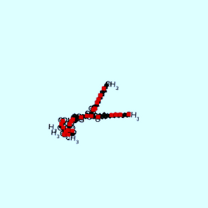 CCCCCCCCCCCCCCCC(=O)OCC(COC(=O)CCCCCCCCCCCCCCC)OC(=O)CCC(=O)Oc1ccc(COC(=O)COc2c(C/C=C(\C)CCC(=O)O)c(OC)c(C)c3c2C(=O)OC3)cc1